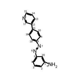 Nc1cccc(N=Nc2ccc(-c3cccnc3)cc2)c1